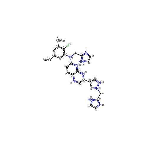 COc1cc(OC)c(F)c(N(Cc2ncc[nH]2)c2ccc3ncc(-c4cnn(Cc5ncc[nH]5)c4)nc3n2)c1